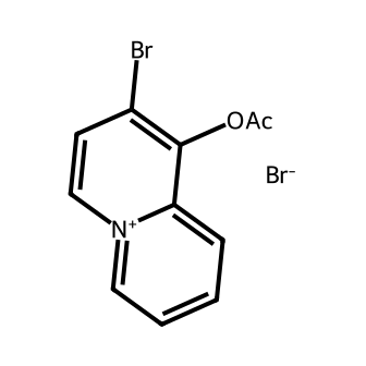 CC(=O)Oc1c(Br)cc[n+]2ccccc12.[Br-]